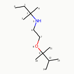 CCC(C)(C)NCCOC(C)(C)C(C)C